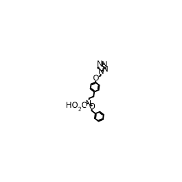 O=C(O)N(CCc1ccc(OCn2cnnn2)cc1)OCc1ccccc1